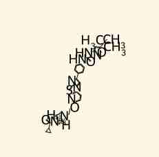 CC(C)(C)c1cc(NC(=O)Nc2ccc(-c3cn4c(n3)sc3nc(OCCN5C[C@@H]6C[C@H]5CN6C(=O)C5CC5)ccc34)cc2)no1